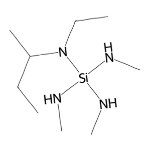 CCC(C)N(CC)[Si](NC)(NC)NC